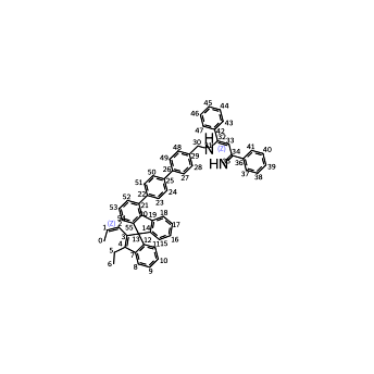 C/C=C\C1=C(CC)c2ccccc2C12c1ccccc1-c1c(-c3ccc(-c4ccc(CN/C(=C\C(=N)c5ccccc5)c5ccccc5)cc4)cc3)cccc12